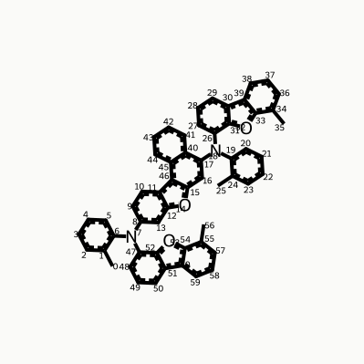 Cc1ccccc1N(c1ccc2c(c1)oc1cc(N(c3ccccc3C)c3cccc4c3oc3c(C)cccc34)c3ccccc3c12)c1cccc2c1oc1c(C)cccc12